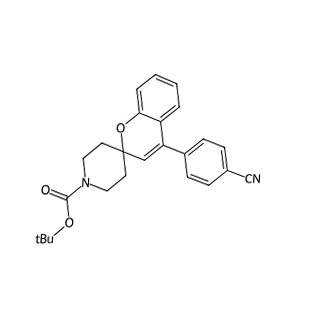 CC(C)(C)OC(=O)N1CCC2(C=C(c3ccc(C#N)cc3)c3ccccc3O2)CC1